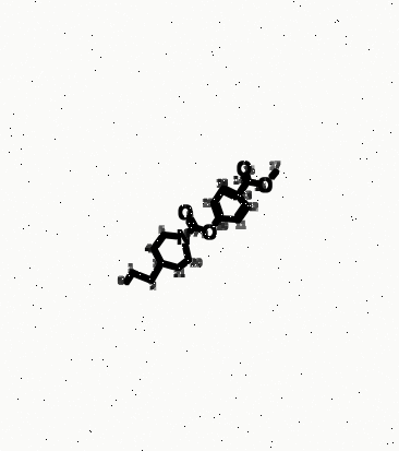 CCCC1CCN(C(=O)Oc2ccc(C(=O)OC)cc2)CC1